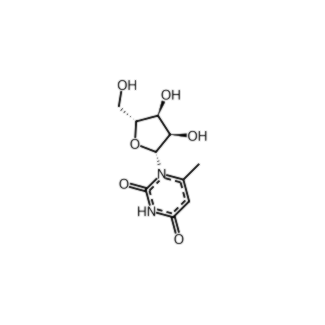 Cc1cc(=O)[nH]c(=O)n1[C@@H]1O[C@H](CO)[C@@H](O)[C@H]1O